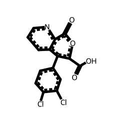 O=C(O)c1oc(=O)c2ncccc2c1-c1ccc(Cl)c(Cl)c1